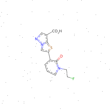 O=C(O)c1cnn2cc(-c3cccn(CCF)c3=O)sc12